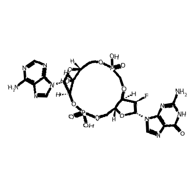 Nc1nc2c(ncn2[C@@H]2O[C@@H]3COP(=O)(O)O[C@@H]4[C@H](O)[C@@H](COP(=O)(O)CO[C@H]3[C@H]2F)O[C@H]4n2cnc3c(N)ncnc32)c(=O)[nH]1